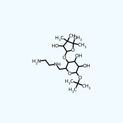 CC(C)(C)OC1OC(CNCCN)C(OC2OC(C)(C)C(C)(C)C2O)C(O)C1O